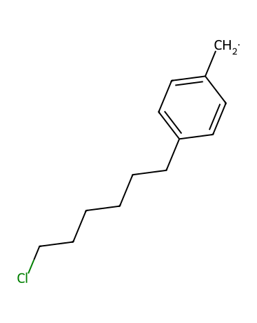 [CH2]c1ccc(CCCCCCCl)cc1